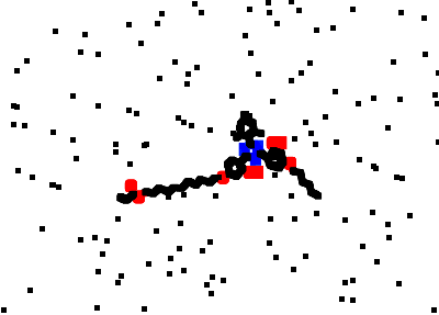 C=CC(=O)OCCCCCCCCCCCOc1ccc(-c2nc(-c3ccc(OCCCCCC)cc3O)nc(-c3c(C)cc(C)cc3C)n2)c(O)c1